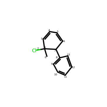 CC1(Cl)C=CC=CC1c1ccccc1